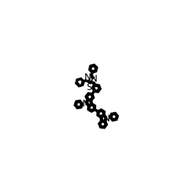 C1=CCCC(c2nc(-c3ccccc3)nc3c2sc2c(-c4ccc5c(c4)c4cc(-c6ccc7c(c6)c6ccccc6n7-c6ccccc6)ccc4n5-c4ccccc4)cccc23)=C1